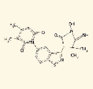 Cn1c(C(F)(F)F)cc(=O)n(-c2ccc3snc(C4C(=O)N(O)C(=N)C4(C)C)c3c2)c1=O